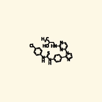 C[C@H](O)CNc1nccc(-n2ccnc2-c2ccc(NC(=S)Nc3ccc(Cl)cc3)cc2)n1